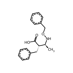 C[C@H](NOCc1ccccc1)[C@H](Cc1ccccc1)C(=O)O